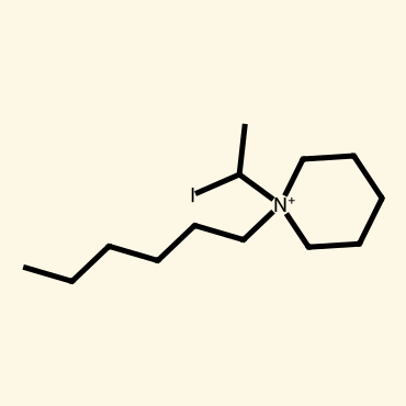 CCCCCC[N+]1(C(C)I)CCCCC1